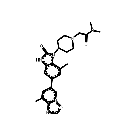 Cc1cc(-c2cc(C)c3ncnn3c2)cc2[nH]c(=O)n(C3CCN(CC(=O)N(C)C)CC3)c12